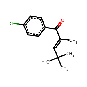 CC(=CC(C)(C)C)C(=O)c1ccc(Cl)cc1